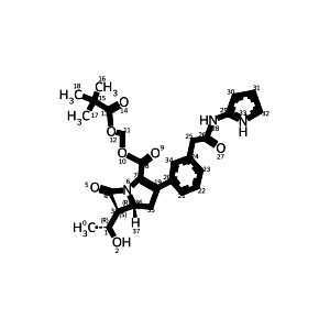 C[C@@H](O)[C@H]1C(=O)N2C(C(=O)OCOC(=O)C(C)(C)C)=C(c3cccc(CC(=O)Nc4ccc[nH]4)c3)C[C@H]12